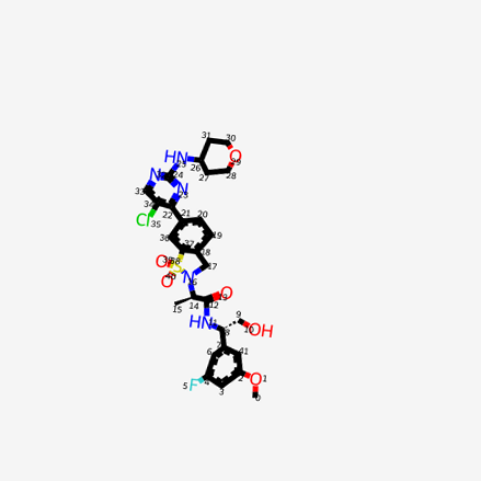 COc1cc(F)cc([C@@H](CO)NC(=O)[C@@H](C)N2Cc3ccc(-c4nc(NC5CCOCC5)ncc4Cl)cc3S2(=O)=O)c1